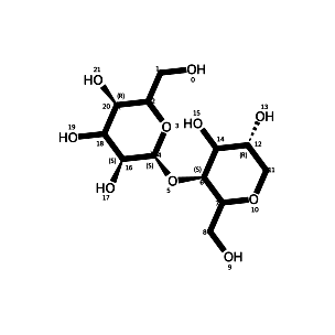 OCC1O[C@@H](O[C@@H]2C(CO)OC[C@@H](O)C2O)[C@@H](O)C(O)[C@H]1O